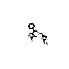 Cn1c(C(=NOCc2csc(N)n2)c2ccccc2)noc1=O